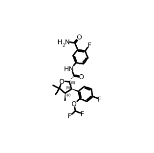 C[C@@H]1[C@H](c2ccc(F)cc2OC(F)F)[C@@H](C(=O)Nc2ccc(F)c(C(N)=O)c2)OC1(C)C